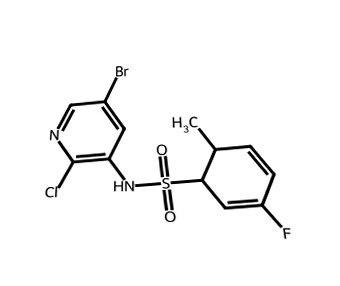 CC1C=CC(F)=CC1S(=O)(=O)Nc1cc(Br)cnc1Cl